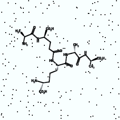 C[C@H](N)C(=O)N[C@H](CCC(=O)N[C@@H](CCC[C@@H](N)C(=O)O)C(=O)N[C@H](C)C(=O)N[C@H](C)C(=O)O)C(=O)O